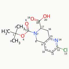 CC(C)(C)OC(=O)N1Cc2ccc(Cl)nc2CC1C(=O)O